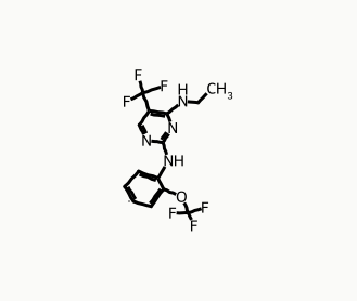 CCNc1nc(Nc2cc[c]cc2OC(F)(F)F)ncc1C(F)(F)F